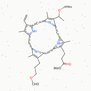 C=Cc1c(C)c2cc3nc(cc4[nH]c(cc5nc(cc1[nH]2)C(C)=C5C(C)OCCCCCC)c(C)c4CCC(=O)OC)C(CCCOC=O)=C3C